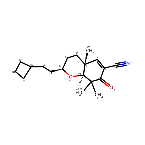 CC1(C)C(=O)C(C#N)=C[C@@]2(C)CC[C@H](CCC3CCC3)O[C@H]12